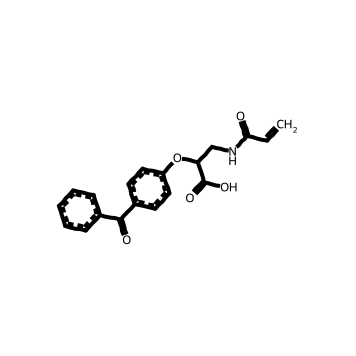 C=CC(=O)NCC(Oc1ccc(C(=O)c2ccccc2)cc1)C(=O)O